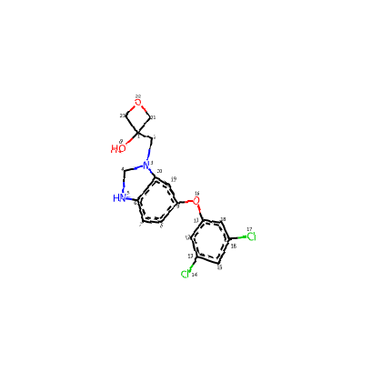 OC1(CN2CNc3ccc(Oc4cc(Cl)cc(Cl)c4)cc32)COC1